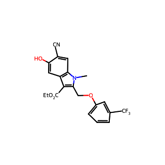 CCOC(=O)c1c(COc2cccc(C(F)(F)F)c2)n(C)c2cc(C#N)c(O)cc12